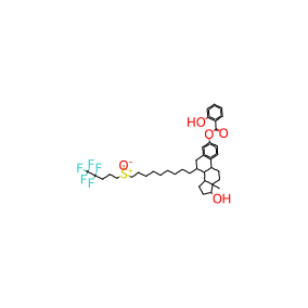 CC12CCC3c4ccc(OC(=O)c5ccccc5O)cc4CC(CCCCCCCCC[S+]([O-])CCCC(F)(F)C(F)(F)F)C3C1CCC2O